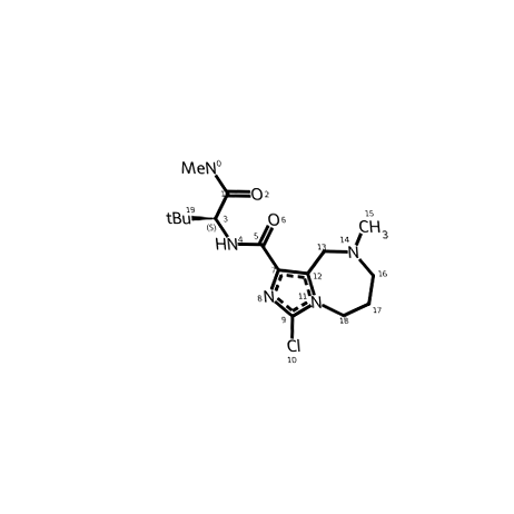 CNC(=O)[C@@H](NC(=O)c1nc(Cl)n2c1CN(C)CCC2)C(C)(C)C